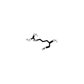 C=C(C=C=O)CCCNC(=C)C